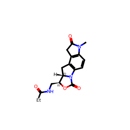 CCC(=O)NC[C@@H]1OC(=O)N2c3ccc4c(c3C[C@@H]12)CC(=O)N4C